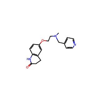 CN(CCOc1ccc2c(c1)CCC(=O)N2)Cc1ccncc1